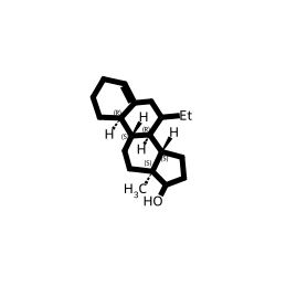 CCC1CC2=CCCC[C@@H]2[C@H]2CC[C@]3(C)C(O)CC[C@H]3[C@H]12